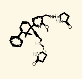 COc1nc(C2(C#CCNC[C@@H]3CCC(=O)N3)C=CC=C(c3ccccc3)C2(C)C)ccc1CNC[C@@H]1CCC(=O)N1